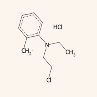 Cl.[CH2]c1ccccc1N(CC)CCCl